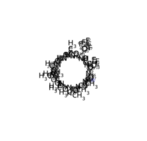 CC[C@H](C)[C@@H]1NC(=O)[C@H](CC)N(C)C(=O)C[C@@H](C(=O)N(C)C)N(C)C(=O)[C@H](C2CCCC2)N(C)C(=O)C2(CCC2)NC(=O)[C@@H]2C[C@H](C)CN2C(=O)[C@H](CCc2cc(F)c(C(F)(F)F)c(F)c2)NC(=O)CN(C)C(=O)[C@H](CC2CCC(F)(F)CC2)N2CC/C=C\C[C@@H](C2=O)N(C)C(=O)CN(C)C1=O